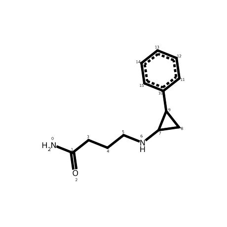 NC(=O)CCCNC1CC1c1ccccc1